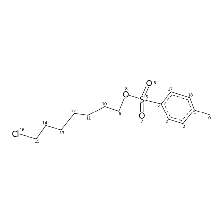 Cc1ccc(S(=O)(=O)OCCCCCCCCl)cc1